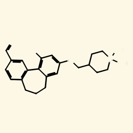 Cc1cc(OCC2CCS(O)(O)CC2)cc2c1-c1cc(C=O)ccc1CCC2